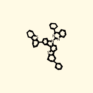 C1=CCCC(c2nc(-n3c4ccc(-c5cccc6c7c(sc56)C=CCC7)cc4c4c5sc6ccc(-c7ccccc7)cc6c5ccc43)nc3ccccc23)=C1